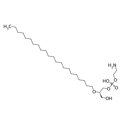 CCCCCCCCCCCCCCCCCCCCCCO[C@H](CO)COP(=O)(O)OCCN